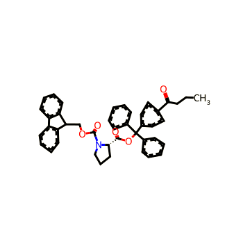 CCCC(=O)c1ccc(C(OC(=O)[C@@H]2CCCN2C(=O)OCC2c3ccccc3-c3ccccc32)(c2ccccc2)c2ccccc2)cc1